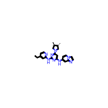 CCc1ccnc(Nc2nc(Nc3ccn4ccnc4c3)cc(N3C[C@@H](C)[C@H](C)C3)n2)c1